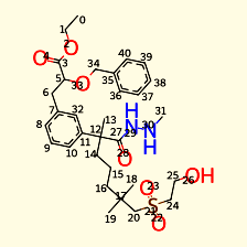 CCOC(=O)C(Cc1cccc(C(C)(CCCC(C)(C)CS(=O)(=O)CCO)C(=O)NNC)c1)OCc1ccccc1